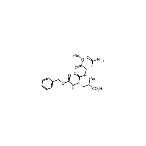 CC(C)(C)OC(=O)[C@H](CC(N)=O)NC(=O)[C@H](CC(C(=O)O)C(C)(C)C)NC(=O)OCc1ccccc1